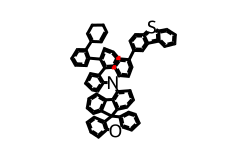 C1=CC(c2ccccc2-c2ccccc2-c2ccccc2N(c2ccc(-c3ccc4sc5ccccc5c4c3)cc2)c2cccc3c2-c2ccccc2C32c3ccccc3Oc3ccccc32)=CCC1